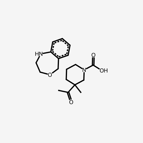 CC(=O)C1(C)CCCN(C(=O)O)C1.c1ccc2c(c1)COCCN2